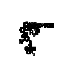 COc1cc(C(=O)NC2C=CC=C(c3cccc(-c4nc5cc(CN6CC(NC(C)=O)C6)cc(C#N)c5o4)c3)C2(C)Cl)ncc1CN[C@H]1C[C@H](O)C1